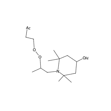 CC(=O)CCOOC(C)CN1C(C)(C)CC(O)CC1(C)C